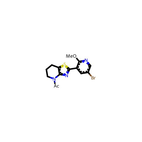 COc1ncc(Br)cc1-c1nc2c(s1)CCCN2C(C)=O